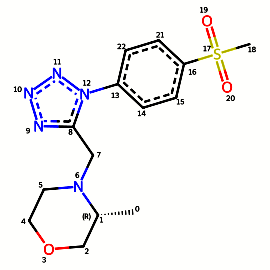 C[C@@H]1COCCN1Cc1nnnn1-c1ccc(S(C)(=O)=O)cc1